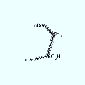 CCCCCCCCCCCCCCCCCCC(CCCCCCCCCCCCCCN(C)CCCCCCCCCCCCCCCCCC)C(=O)O